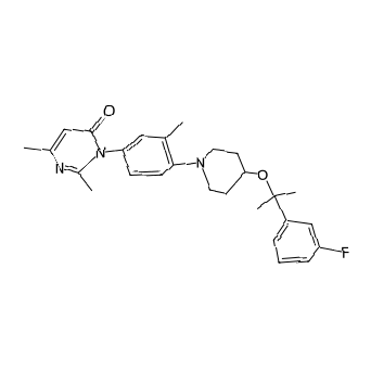 Cc1cc(=O)n(-c2ccc(N3CCC(OC(C)(C)c4cccc(F)c4)CC3)c(C)c2)c(C)n1